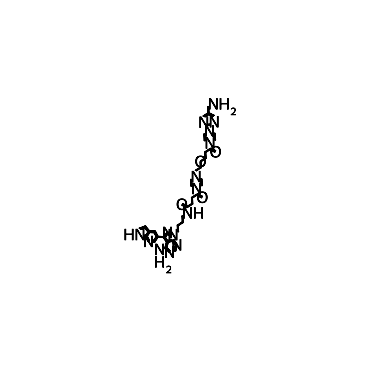 NCc1cnc(N2CCN(C(=O)CCOCCN3CCN(C(=O)CCC(=O)NCCCCn4nc(-c5cnc6[nH]ccc6c5)c5c(N)ncnc54)CC3)CC2)nc1